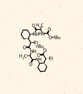 CCCCOC(=O)[C@H](CC)[C@H]1CCCC[C@H]1NC(=O)[C@@H](C)NC(=O)[C@H](CC)[C@H]1CCCC[C@H]1NC(=O)[C@@H](C)NC(=O)OC(C)(C)C